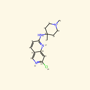 CN1CCC(C)(Nc2ccc3cnc(Cl)cc3n2)CC1